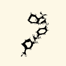 COC(=O)c1cccc(NC(=S)NC2CCC(Nc3nc4c(c(N(C)C)n3)CCCC4)CC2)c1